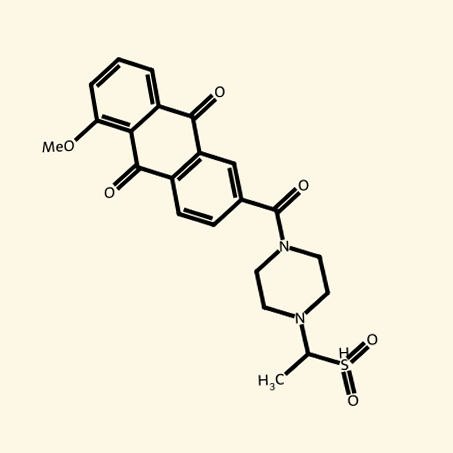 COc1cccc2c1C(=O)c1ccc(C(=O)N3CCN(C(C)[SH](=O)=O)CC3)cc1C2=O